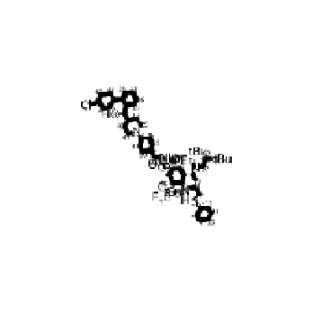 CCN(CC[C@H](CSc1ccccc1)Nc1ccc(S(=O)(=O)NC(=O)c2ccc(N3CCC([C@@H](O)c4ccccc4-c4ccc(Cl)cc4)CC3)cc2)cc1S(=O)(=O)C(F)(F)F)C[C](C(C)(C)C)C(C)(C)C